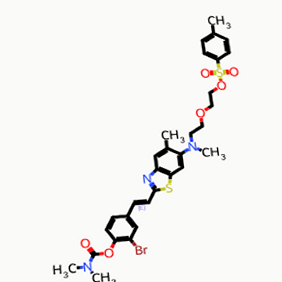 Cc1ccc(S(=O)(=O)OCCOCCN(C)c2cc3sc(/C=C/c4ccc(OC(=O)N(C)C)c(Br)c4)nc3cc2C)cc1